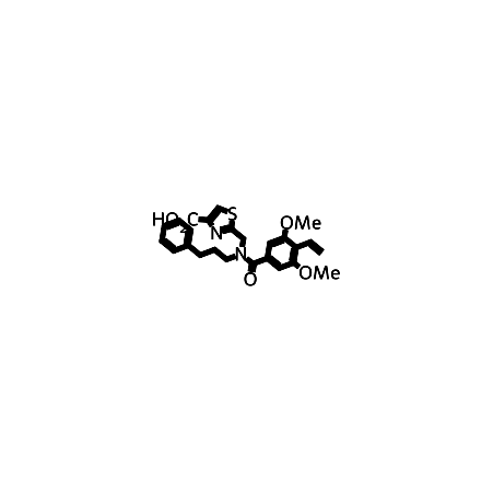 C=Cc1c(OC)cc(C(=O)N(CCCc2ccccc2)Cc2nc(C(=O)O)cs2)cc1OC